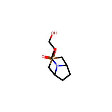 O=S1(=O)CC2CCC(C1)N2CCCO